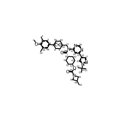 COc1c(C)cc(C23CCC(CN(c4cc(-c5cnn(C(C)(C)C)c5)ncn4)C(=O)[C@H]4CC[C@H](OC(=O)N5CC(C)C5)CC4)(CC2)CC3)cc1C